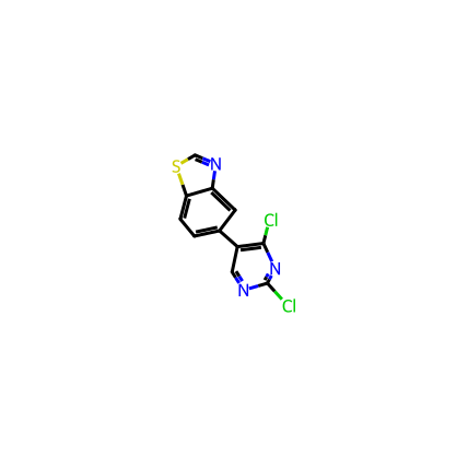 Clc1ncc(-c2ccc3scnc3c2)c(Cl)n1